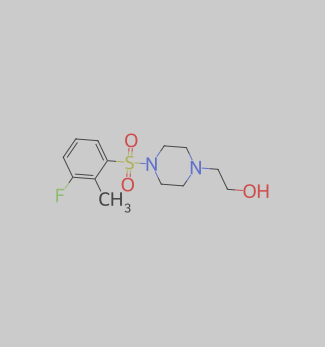 Cc1c(F)cccc1S(=O)(=O)N1CCN(CCO)CC1